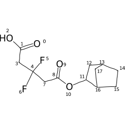 O=C(O)CC(F)(F)CC(=O)OC1CC2CCC1C2